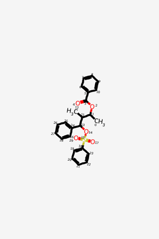 CC(OC(=O)c1ccccc1)C(C)C(OS(=O)(=O)c1ccccc1)c1ccccc1